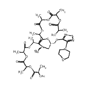 CC(=O)OC(C)C(=O)OC(C)C(=O)OC(C)C(=O)OC(C)C(=O)O[C@H](COc1nsnc1N1CCOCC1)CN(C(=O)C(C)OC(=O)C(C)OC(=O)C(C)OC(=O)C(C)OC(C)=O)C(C)(C)C